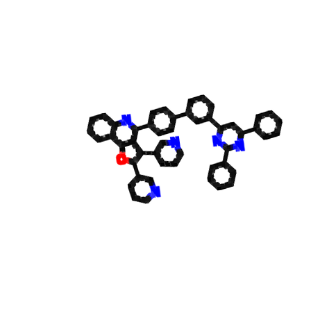 c1ccc(-c2cc(-c3cccc(-c4ccc(-c5nc6ccccc6c6oc(-c7cccnc7)c(-c7cccnc7)c56)cc4)c3)nc(-c3ccccc3)n2)cc1